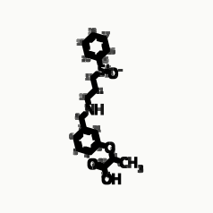 CC(Oc1cccc(CNCCC[S+]([O-])c2ccccc2)c1)C(=O)O